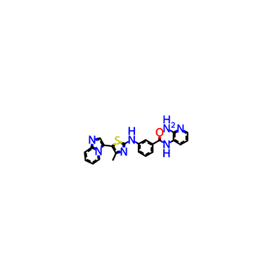 Cc1nc(Nc2cccc(C(=O)Nc3cccnc3N)c2)sc1-c1cnc2ccccn12